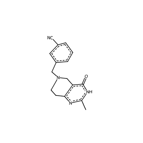 Cc1nc2c(c(=O)[nH]1)CN(Cc1cccc(C#N)c1)CC2